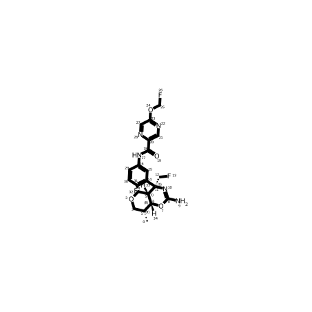 C[C@@H]1COC[C@H]2[C@@H]1OC(N)=N[C@]2(CF)c1cc(NC(=O)c2cnc(OCF)cn2)ccc1F